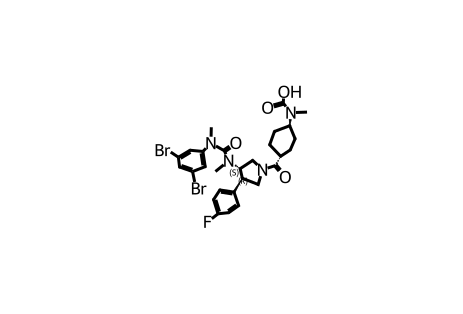 CN(C(=O)N(C)[C@@H]1CN(C(=O)[C@H]2CC[C@H](N(C)C(=O)O)CC2)C[C@H]1c1ccc(F)cc1)c1cc(Br)cc(Br)c1